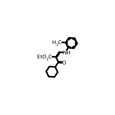 CCOC(=O)C(=CNc1ccccc1C)C(=O)C1CCCCC1